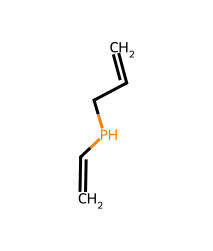 C=CCPC=C